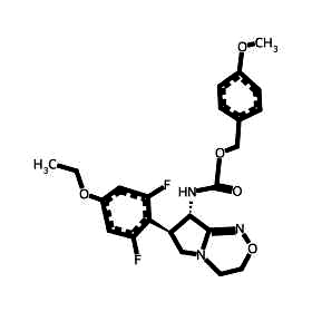 CCOc1cc(F)c([C@@H]2CN3CCON=C3[C@H]2NC(=O)OCc2ccc(OC)cc2)c(F)c1